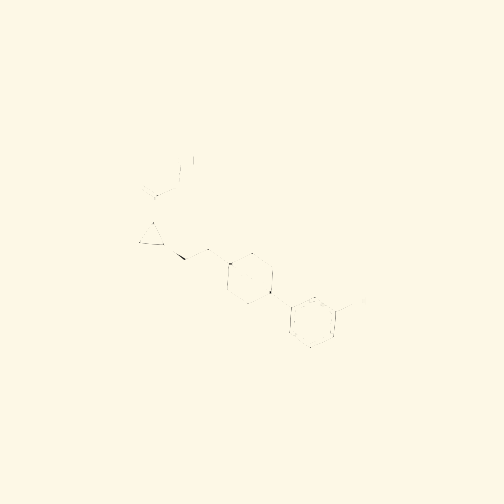 COC(=O)[C@H]1C[C@@H]1CCC12CCC(c3cccc(O)c3)(CC1)OC2